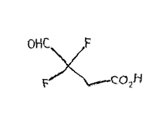 O=CC(F)(F)CC(=O)O